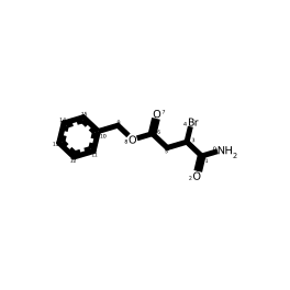 NC(=O)C(Br)CC(=O)OCc1ccccc1